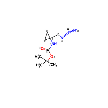 CC(C)(C)OC(=O)NC1(CN=[N+]=[N-])CC1